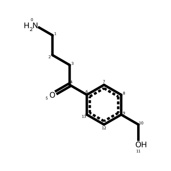 NCCCC(=O)c1ccc(CO)cc1